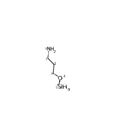 NCCCO[SiH3]